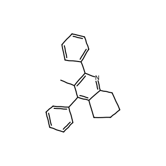 Cc1c(-c2ccccc2)nc2c(c1-c1ccccc1)CCCC2